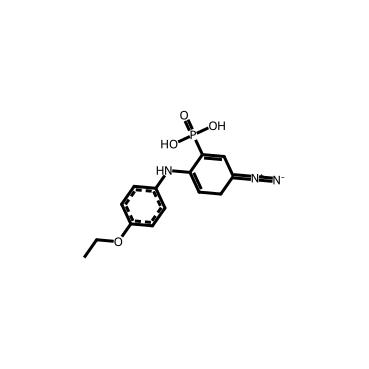 CCOc1ccc(NC2=CCC(=[N+]=[N-])C=C2P(=O)(O)O)cc1